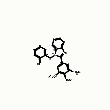 COc1cc(-c2nc3ccccc3n2Cc2ccccc2F)cc(OC)c1OC